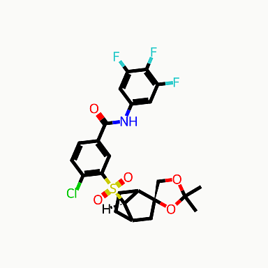 CC1(C)OC[C@]2(CC3CCC2[C@@H]3S(=O)(=O)c2cc(C(=O)Nc3cc(F)c(F)c(F)c3)ccc2Cl)O1